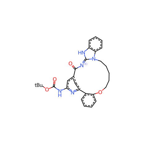 CC(C)(C)OC(=O)Nc1cc2cc(n1)-c1ccccc1OCCCCCN1/C(=N/C2=O)Nc2ccccc21